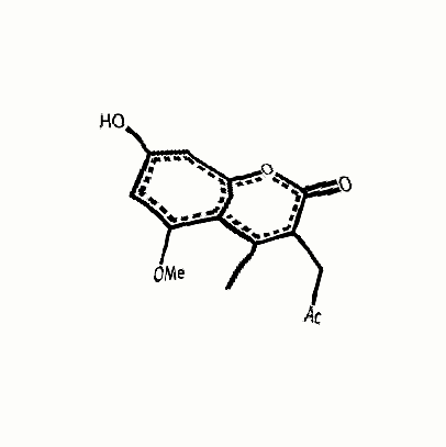 COc1cc(O)cc2oc(=O)c(CC(C)=O)c(C)c12